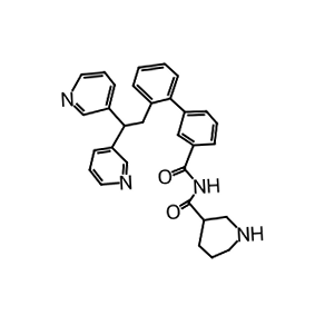 O=C(NC(=O)C1CCCNC1)c1cccc(-c2ccccc2CC(c2cccnc2)c2cccnc2)c1